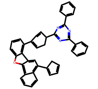 C1=CCC(c2cc3c(oc4cccc(C5=CCC(c6nc(-c7ccccc7)nc(-c7ccccc7)n6)C=C5)c43)c3ccccc23)=C1